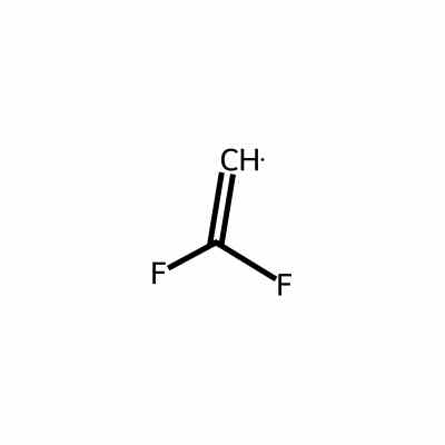 [CH]=C(F)F